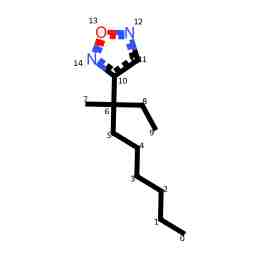 CCCCCCC(C)(CC)c1cnon1